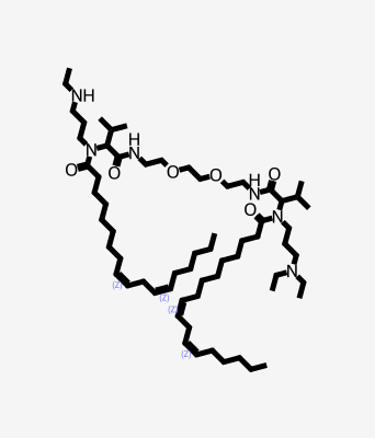 CCCCC/C=C\C/C=C\CCCCCCCC(=O)N(CCCNCC)C(C(=O)NCCOCCOCCNC(=O)C(C(C)C)N(CCCN(CC)CC)C(=O)CCCCCCC/C=C\C/C=C\CCCCC)C(C)C